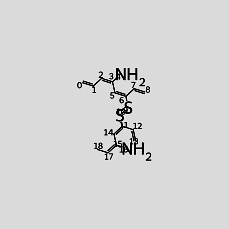 C=C/C=C(N)\C=C(/C=C)SS/C(C=C)=C/C(N)=C\C